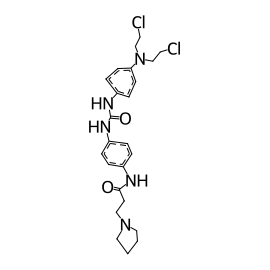 O=C(CCN1CCCC1)Nc1ccc(NC(=O)Nc2ccc(N(CCCl)CCCl)cc2)cc1